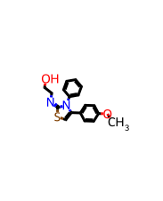 COc1ccc(-c2csc(=NCCO)n2-c2ccccc2)cc1